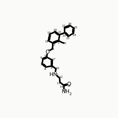 Cc1c(COc2cccc(CNCCC(N)=O)c2)cccc1-c1ccccc1